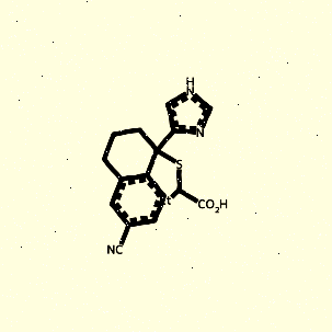 CCC(SC1(c2c[nH]cn2)CCCc2cc(C#N)ccc21)C(=O)O